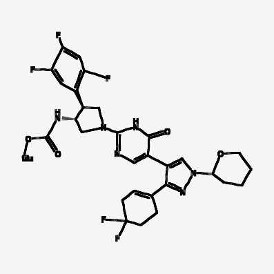 CC(C)(C)OC(=O)N[C@H]1CN(c2ncc(-c3cn(C4CCCCO4)nc3C3=CCC(F)(F)CC3)c(=O)[nH]2)C[C@@H]1c1cc(F)c(F)cc1F